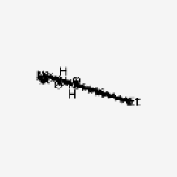 CCC=CCC=CCC=CCC=CCC=CCCCC(=O)NCCNC(=O)CC=Cc1cccnc1